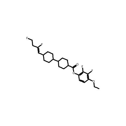 CCOc1ccc(OC(=O)C2CCC(C3CCC(/C=C(\F)CCF)CC3)CC2)c(F)c1F